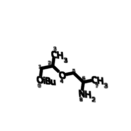 CC(C)COCC(C)OCC(C)N